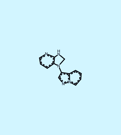 c1cnc2c(c1)N(c1cnn3ccccc13)CN2